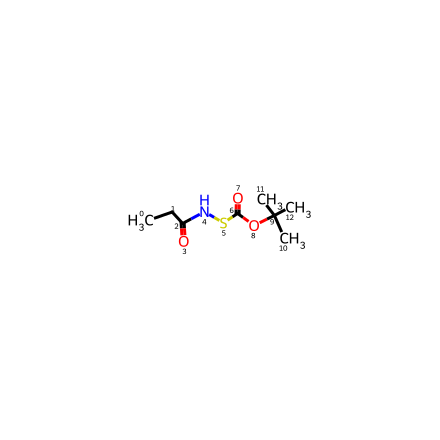 CCC(=O)NSC(=O)OC(C)(C)C